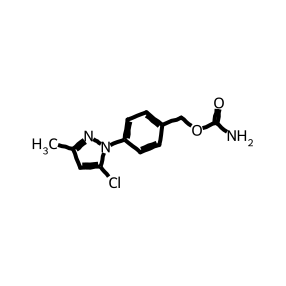 Cc1cc(Cl)n(-c2ccc(COC(N)=O)cc2)n1